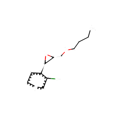 CCCCOC[C@H]1O[C@@H]1c1ccccc1Cl